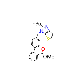 CCCCc1nc2ccsc2n1Cc1ccc(-c2ccccc2C(=O)OC)cc1